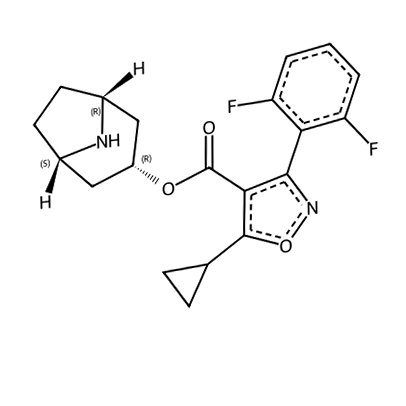 O=C(O[C@H]1C[C@H]2CC[C@@H](C1)N2)c1c(-c2c(F)cccc2F)noc1C1CC1